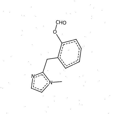 Cn1ccnc1Cc1ccccc1OC=O